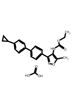 CCOC(=O)Nc1c(-c2ccc(-c3ccc(C4CC4)cc3)cc2)noc1C.O=C(O)O